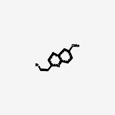 COc1ccc2nc(/C=C\Br)ccc2c1